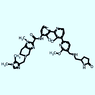 COc1nc(-c2ccnc(-c3cccc(NC(=O)c4nc5c(n4C)CCN(Cc4ncn(C)c4C)C5)c3Cl)c2Cl)ccc1CNCC1CCC(=O)N1